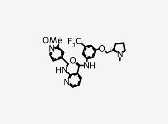 COc1cc(CNc2ncccc2C(=O)Nc2cc(OC[C@H]3CCCN3C)cc(C(F)(F)F)c2)ccn1